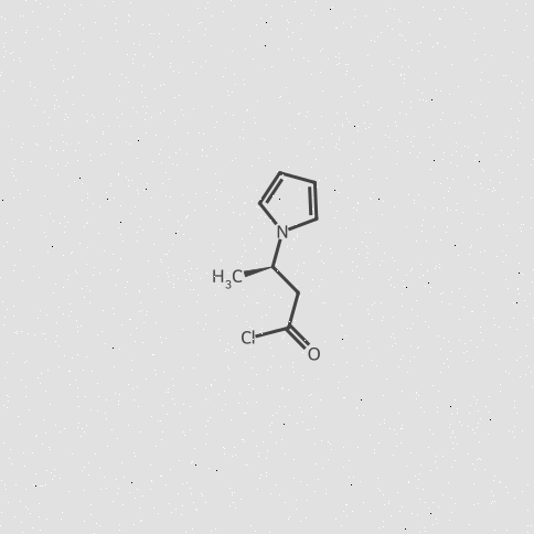 C[C@H](CC(=O)Cl)n1cccc1